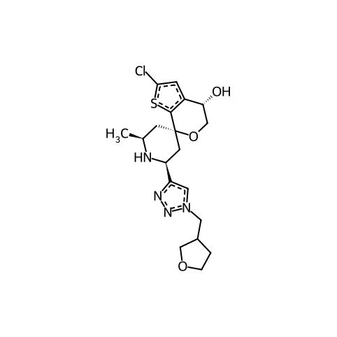 C[C@H]1C[C@@]2(C[C@@H](c3cn(CC4CCOC4)nn3)N1)OC[C@@H](O)c1cc(Cl)sc12